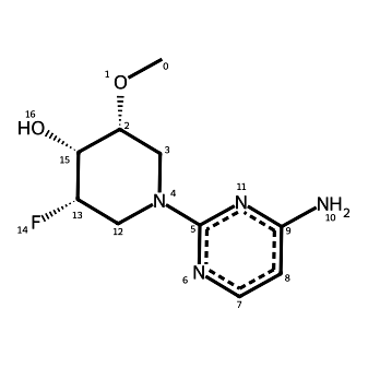 CO[C@@H]1CN(c2nccc(N)n2)C[C@H](F)[C@@H]1O